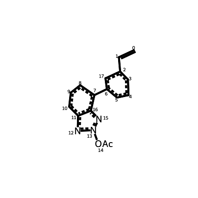 C=Cc1cccc(-c2cccc3nn(OC(C)=O)nc23)c1